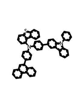 c1ccc(-n2c3ccccc3c3cc(-c4ccc(N(c5ccc(-c6cc7ccccc7c7ccccc67)cc5)c5cccc6sc7ccccc7c56)cc4)ccc32)cc1